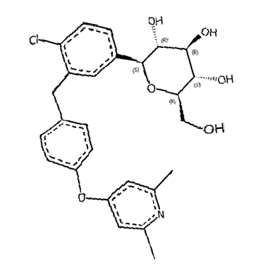 Cc1cc(Oc2ccc(Cc3cc([C@@H]4O[C@H](CO)[C@@H](O)[C@H](O)[C@H]4O)ccc3Cl)cc2)cc(C)n1